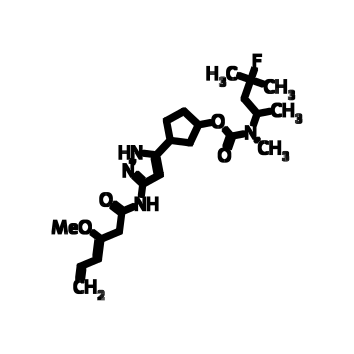 C=C/C=C(/CC(=O)Nc1cc(C2CCC(OC(=O)N(C)C(C)CC(C)(C)F)C2)[nH]n1)OC